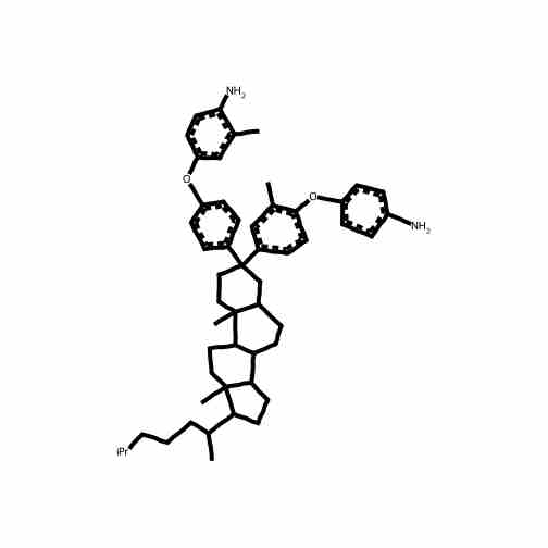 Cc1cc(Oc2ccc(C3(c4ccc(Oc5ccc(N)cc5)c(C)c4)CCC4(C)C(CCC5C4CCC4(C)C(C(C)CCCC(C)C)CCC54)C3)cc2)ccc1N